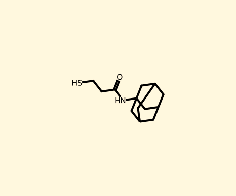 O=C(CCS)NC12CC3CC(CC(C3)C1)C2